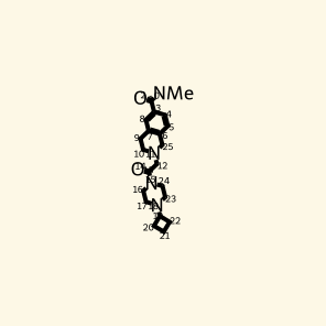 CNC(=O)c1ccc2c(c1)CCN(CC(=O)N1CCN(C3CCC3)CC1)C2